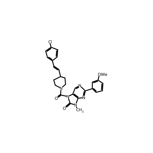 COc1cccc(-c2ncc3c(n2)n(C)c(=O)n3C(=O)N2CCC(/C=C/c3ccc(Cl)cc3)CC2)c1